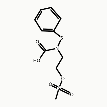 CS(=O)(=O)OCCN(Sc1ccccc1)C(=O)O